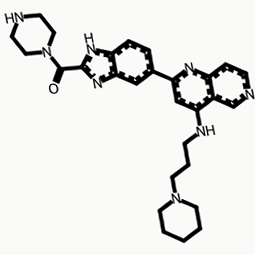 O=C(c1nc2cc(-c3cc(NCCCN4CCCCC4)c4cnccc4n3)ccc2[nH]1)N1CCNCC1